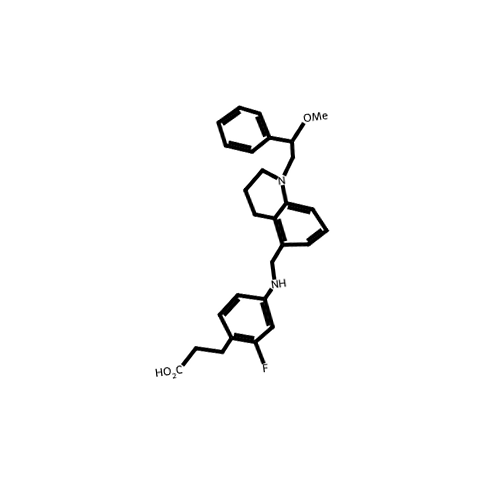 COC(CN1CCCc2c(CNc3ccc(CCC(=O)O)c(F)c3)cccc21)c1ccccc1